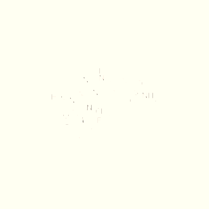 CN1C(=O)[C@H](c2c(F)cccc2F)N(C)c2nc(Nc3ccc(S(N)(=O)=O)cc3)ncc21